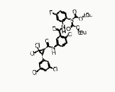 CC(C)(C)OC(=O)N(C(=O)OC(C)(C)C)c1ccc(F)cc1NC(=O)c1cc(NC(=O)[C@H]2[C@H](c3cc(Cl)cc(Cl)c3)C2(Cl)Cl)ccc1Cl